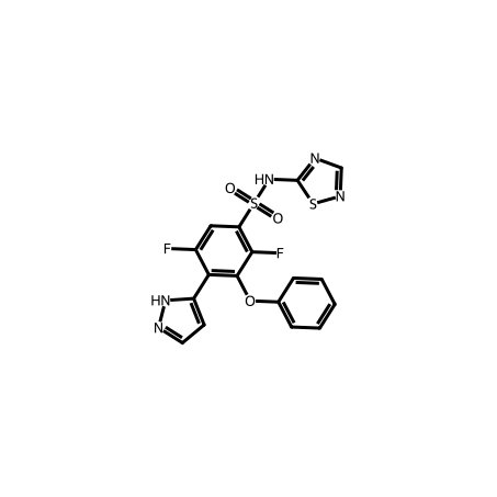 O=S(=O)(Nc1ncns1)c1cc(F)c(-c2ccn[nH]2)c(Oc2ccccc2)c1F